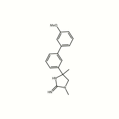 COc1cccc(-c2cccc(C3(C)CN(C)C(=N)N3)c2)c1